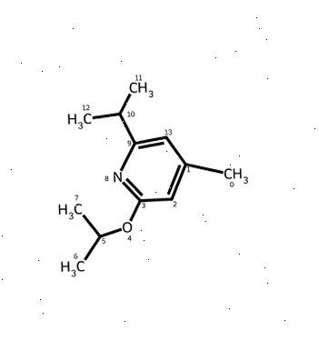 Cc1cc(OC(C)C)nc(C(C)C)c1